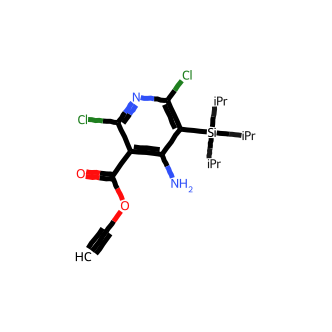 C#COC(=O)c1c(Cl)nc(Cl)c([Si](C(C)C)(C(C)C)C(C)C)c1N